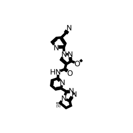 COc1nn(-c2cc(C#N)ccn2)cc1C(=O)Nc1cccc(-c2nnc3n2[C@@H](C)CC3)n1